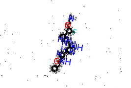 CN(C)CCOc1cc(F)cc(-c2ccnc3[nH]c(-c4n[nH]c5ncc(-c6cncc(NC(=O)Cc7ccccc7)c6)cc45)nc23)c1